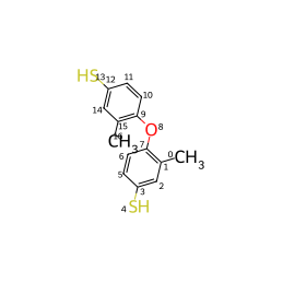 Cc1cc(S)ccc1Oc1ccc(S)cc1C